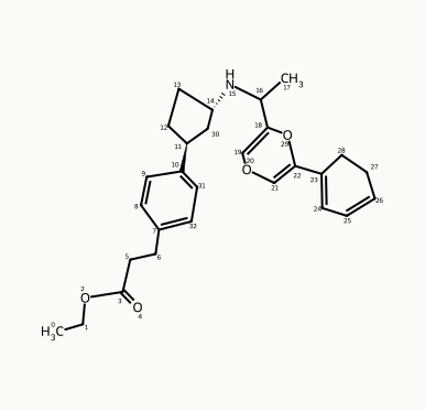 CCOC(=O)CCc1ccc([C@H]2CC[C@H](NC(C)C3=COC=C(C4=CC=CCC4)O3)C2)cc1